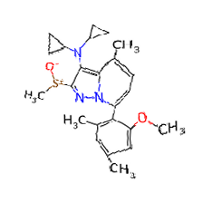 COc1cc(C)cc(C)c1-c1ccc(C)c2c(N(C3CC3)C3CC3)c([S+](C)[O-])nn12